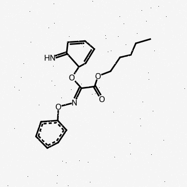 CCCCCOC(=O)C(=NOc1ccccc1)OC1C=CC=CC1=N